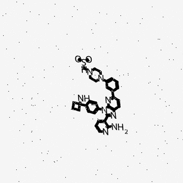 Nc1ncccc1-c1nc2ccc(-c3cccc(N4CCN(C[SH](=O)=O)CC4)c3)nc2n1-c1ccc(C2(N)CCC2)cc1